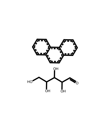 O=CC(O)C(O)C(O)CO.c1ccc2c(c1)ccc1ccccc12